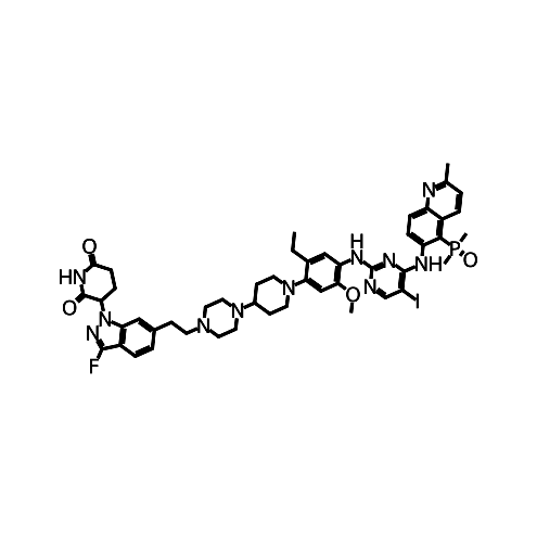 CCc1cc(Nc2ncc(I)c(Nc3ccc4nc(C)ccc4c3P(C)(C)=O)n2)c(OC)cc1N1CCC(N2CCN(CCc3ccc4c(F)nn(C5CCC(=O)NC5=O)c4c3)CC2)CC1